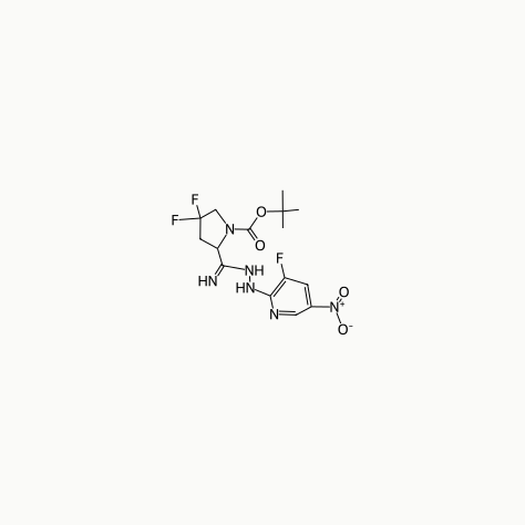 CC(C)(C)OC(=O)N1CC(F)(F)CC1C(=N)NNc1ncc([N+](=O)[O-])cc1F